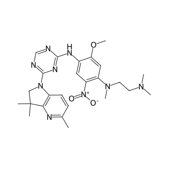 COc1cc(N(C)CCN(C)C)c([N+](=O)[O-])cc1Nc1ncnc(N2CC(C)(C)c3nc(C)ccc32)n1